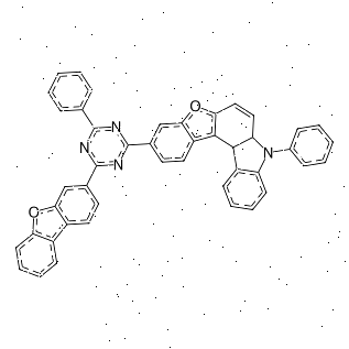 C1=CC2C(c3ccccc3N2c2ccccc2)c2c1oc1cc(-c3nc(-c4ccccc4)nc(-c4ccc5c(c4)oc4ccccc45)n3)ccc21